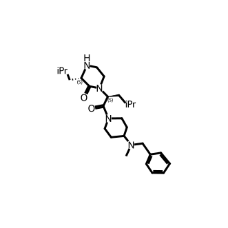 CC(C)C[C@@H]1NCCN([C@@H](CC(C)C)C(=O)N2CCC(N(C)Cc3ccccc3)CC2)C1=O